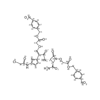 NC(=O)[C@H]1[C@H](NC(=O)C(=NOCC(=O)OCc2ccc([N+](=O)[O-])cc2)c2csc(NC(=O)CCl)n2)C(=O)N1OCC(=O)OCc1ccc([N+](=O)[O-])cc1